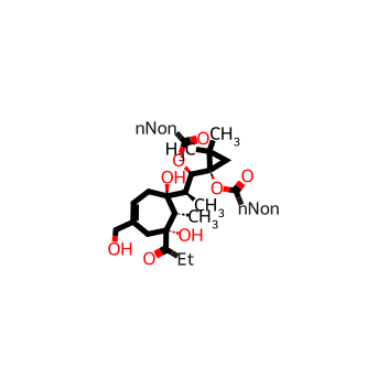 CCCCCCCCCC(=O)O[C@H]([C@@H](C)[C@@]1(O)CC=C(CO)C[C@](O)(C(=O)CC)[C@H]1C)[C@]1(OC(=O)CCCCCCCCC)CC1(C)C